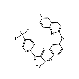 CC(Oc1ccc(Oc2ccc3cc(F)ccc3n2)cc1)C(=O)Nc1ccc(C(F)(F)F)cc1